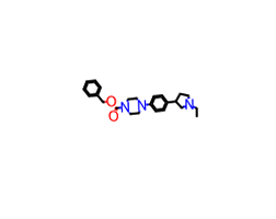 CCN1CCC(c2ccc(N3CCN(C(=O)OCc4ccccc4)CC3)cc2)C1